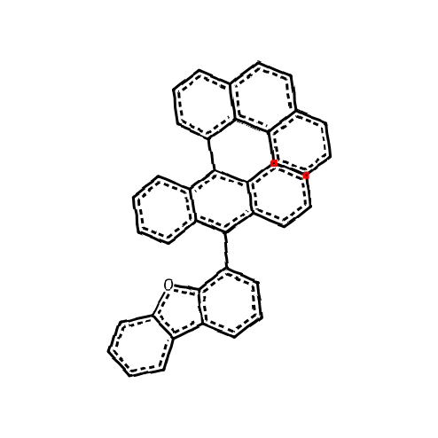 c1ccc2c(c1)ccc1cccc(-c3c4ccccc4c(-c4cccc5c4oc4ccccc45)c4ccccc34)c12